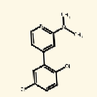 CN(C)c1cc(-c2cc(Cl)ccc2O)ccn1